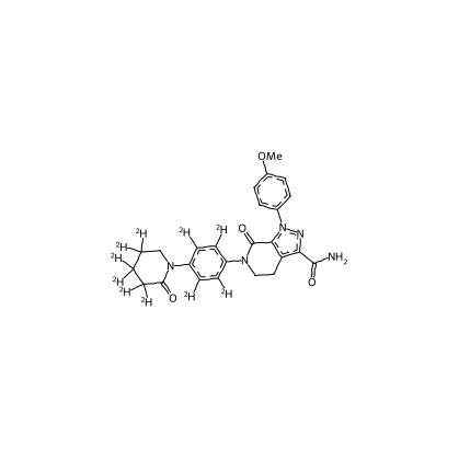 [2H]c1c([2H])c(N2CC([2H])([2H])C([2H])([2H])C([2H])([2H])C2=O)c([2H])c([2H])c1N1CCc2c(C(N)=O)nn(-c3ccc(OC)cc3)c2C1=O